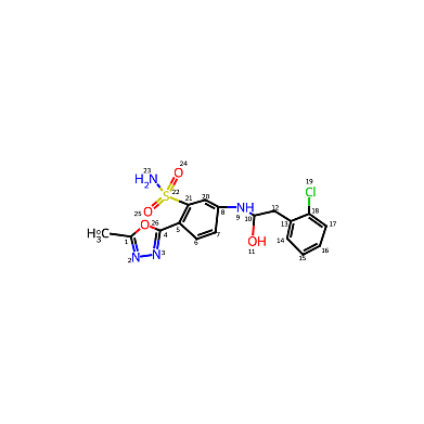 Cc1nnc(-c2ccc(NC(O)Cc3ccccc3Cl)cc2S(N)(=O)=O)o1